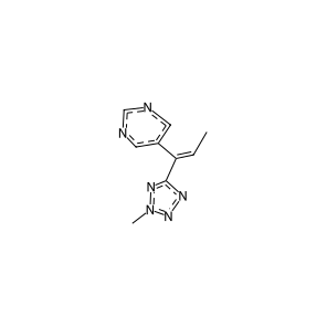 C/C=C(\c1cncnc1)c1nnn(C)n1